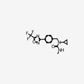 CNC(=O)N(Cc1ccc(-c2noc(C(F)(F)F)n2)cc1)C1CC1